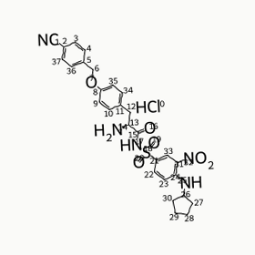 Cl.N#Cc1ccc(COc2ccc(C[C@H](N)C(=O)NS(=O)(=O)c3ccc(NC4CCCC4)c([N+](=O)[O-])c3)cc2)cc1